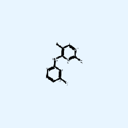 Cc1cnc(Cl)nc1Nc1cccc(Br)c1